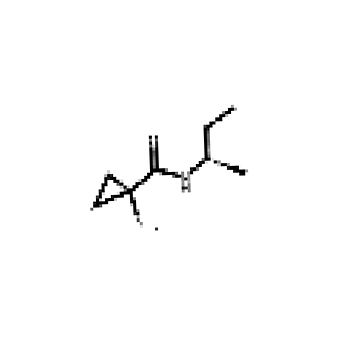 CC[C@@H](C)NC(=O)C1(N)CC1